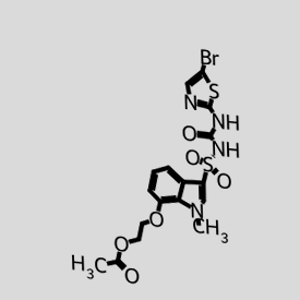 CC(=O)OCCOc1cccc2c(S(=O)(=O)NC(=O)Nc3ncc(Br)s3)cn(C)c12